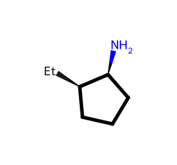 CC[C@@H]1CCC[C@@H]1N